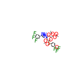 CC(=O)OC[C@H]1O[C@H](Sc2ccc(OC(F)(F)F)cc2)[C@H](OC(C)=O)[C@@H](n2cc(-c3cc(F)c(F)c(F)c3)nn2)[C@H]1OC(C)=O